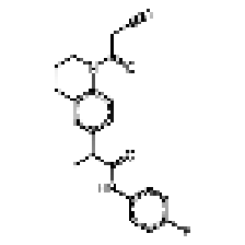 CC(C(=O)Nc1ccc(F)cc1)c1ccc2c(c1)CCCN2C(=O)CC#N